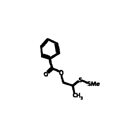 CSSC(C)COC(=O)c1ccccc1